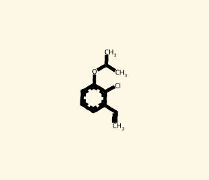 C=Cc1cccc(OC(C)C)c1Cl